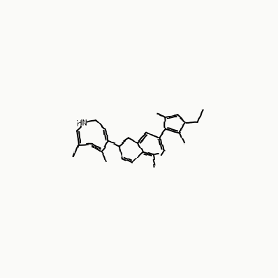 C/C=C(\C=C1\CC(C2=C\CN\C=C(C)/C=C/2C)C=CC1=C(C)C)C1=C(C)C(CC)C=C1C